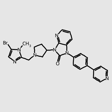 Cn1c(Br)cnc1CN1CCC(n2c(=O)n(-c3ccc(-c4ccncc4)cc3)c3cccnc32)C1